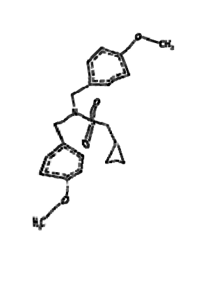 COc1ccc(CN(Cc2ccc(OC)cc2)S(=O)(=O)CC2CC2)cc1